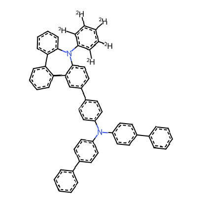 [2H]c1c([2H])c([2H])c(N2c3ccccc3-c3ccccc3-c3cc(-c4ccc(N(c5ccc(-c6ccccc6)cc5)c5ccc(-c6ccccc6)cc5)cc4)ccc32)c([2H])c1[2H]